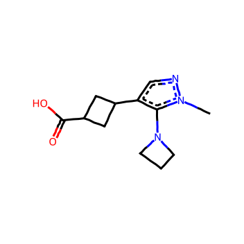 Cn1ncc(C2CC(C(=O)O)C2)c1N1CCC1